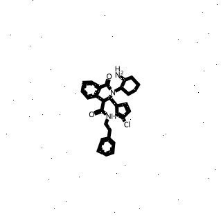 NC1CCCCC1N1C(=O)c2ccccc2C(C(=O)NCCc2ccccc2)C1C1C=CC(Cl)=C1